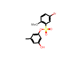 COc1ccc(Br)cc1S(=O)(=O)Oc1cc(C)cc(O)c1